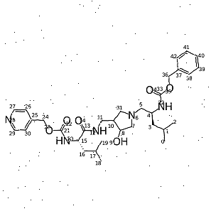 CC(C)C[C@@H](CN1CC(O)C(CNC(=O)[C@H](CC(C)C)NC(=O)OCc2ccncc2)C1)NC(=O)OCc1ccccc1